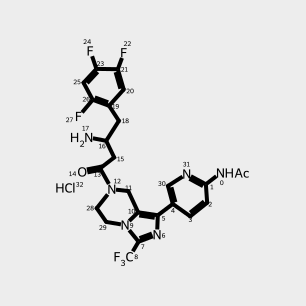 CC(=O)Nc1ccc(-c2nc(C(F)(F)F)n3c2CN(C(=O)CC(N)Cc2cc(F)c(F)cc2F)CC3)cn1.Cl